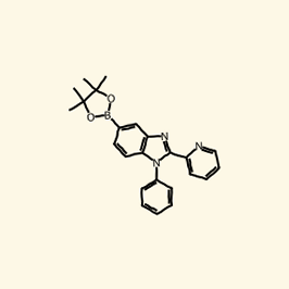 CC1(C)OB(c2ccc3c(c2)nc(-c2ccccn2)n3-c2ccccc2)OC1(C)C